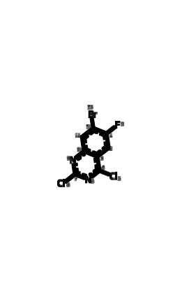 Fc1cc2c(Cl)nc(Cl)nc2cc1Br